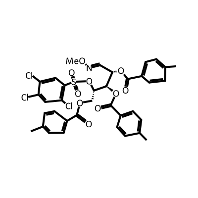 CO/N=C/[C@H](OC(=O)c1ccc(C)cc1)[C@@H](OC(=O)c1ccc(C)cc1)[C@H](COC(=O)c1ccc(C)cc1)OS(=O)(=O)c1cc(Cl)c(Cl)cc1Cl